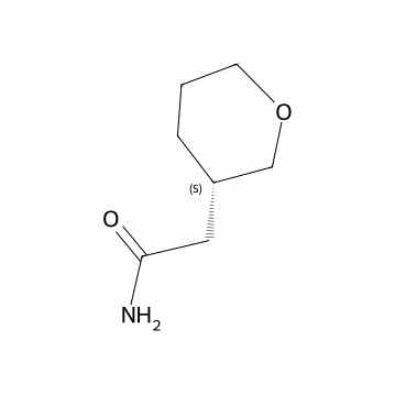 NC(=O)C[C@@H]1CCCOC1